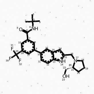 CC(C)(C)NC(=O)c1cc(-c2ccc3[nH]c(CN4CCC[C@@H]4CO)cc3c2)cc(C(F)(F)F)c1